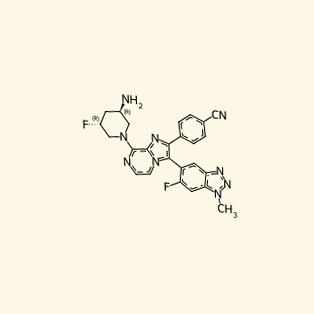 Cn1nnc2cc(-c3c(-c4ccc(C#N)cc4)nc4c(N5C[C@H](N)C[C@@H](F)C5)nccn34)c(F)cc21